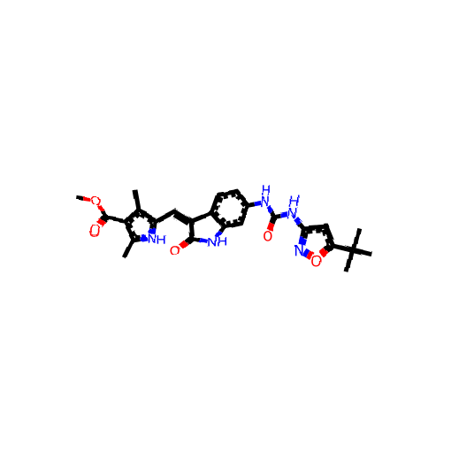 COC(=O)c1c(C)[nH]c(/C=C2\C(=O)Nc3cc(NC(=O)Nc4cc(C(C)(C)C)on4)ccc32)c1C